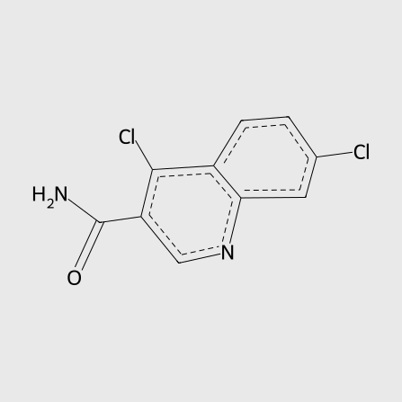 NC(=O)c1cnc2cc(Cl)ccc2c1Cl